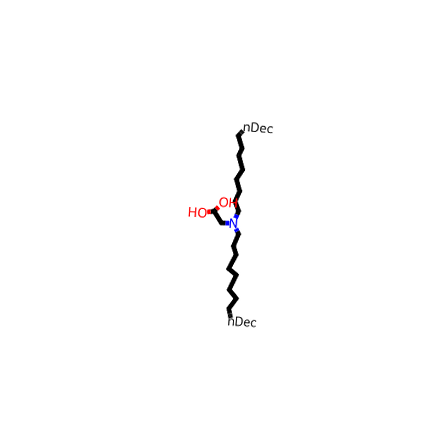 CCCCCCCCCCCCCCCCCCN(CCCCCCCCCCCCCCCCCC)CC(O)O